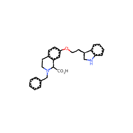 O=C(O)C1c2cc(OCCC3CNc4ccccc43)ccc2CCN1Cc1ccccc1